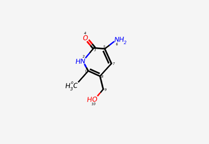 Cc1[nH]c(=O)c(N)cc1CO